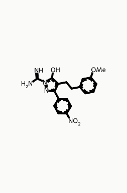 COc1cccc(CCc2c(-c3ccc([N+](=O)[O-])cc3)nn(C(=N)N)c2O)c1